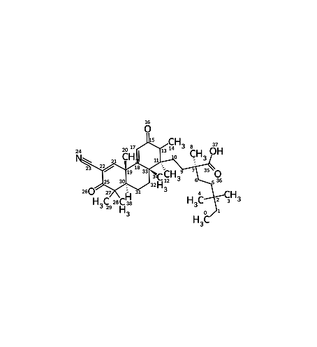 CCC(C)(C)CC[C@@](C)(CC[C@]1(C)C(C)C(=O)C=C2[C@@]3(C)C=C(C#N)C(=O)C(C)(C)[C@@H]3CC[C@]21C)C(=O)O